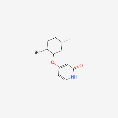 CC(C)C1CC[C@H](C)CC1Oc1cc[nH]c(=O)c1